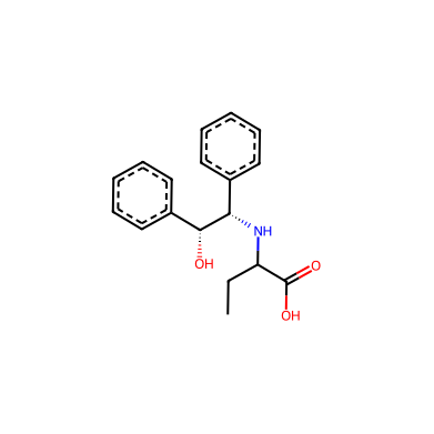 CCC(N[C@@H](c1ccccc1)[C@H](O)c1ccccc1)C(=O)O